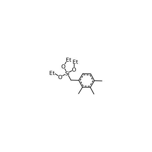 CCO[Si](Cc1ccc(C)c(C)c1C)(OCC)OCC